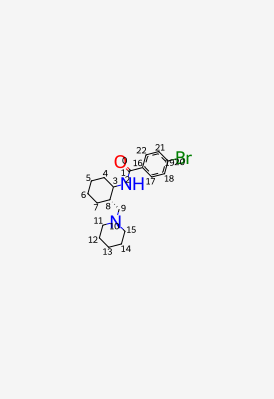 O=C(NC1CCCC[C@H]1CN1CCCCC1)c1ccc(Br)cc1